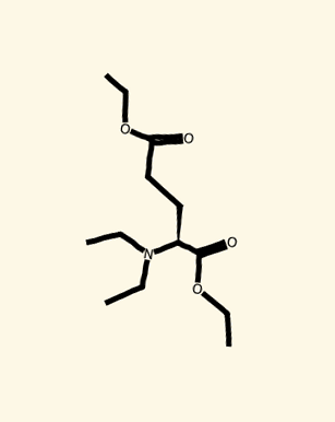 CCOC(=O)CC[C@@H](C(=O)OCC)N(CC)CC